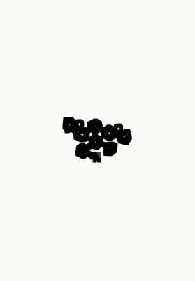 N#Cc1ccccc1-c1cc(-c2ccccc2)cc(-c2c(-c3ccc4c(c3)oc3ccccc34)cccc2-c2cccc3c2oc2ccccc23)c1